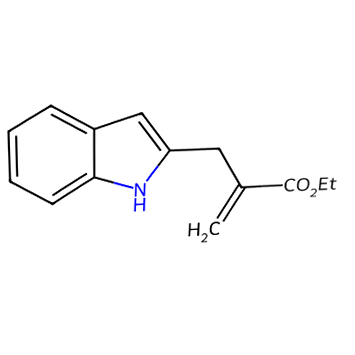 C=C(Cc1cc2ccccc2[nH]1)C(=O)OCC